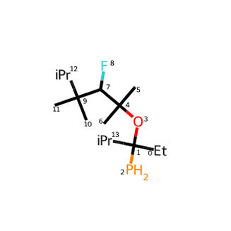 CCC(P)(OC(C)(C)C(F)C(C)(C)C(C)C)C(C)C